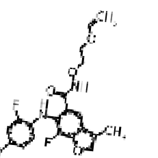 C=COCCONC(=O)c1cc2c(C)coc2c(F)c1Nc1ccc(I)cc1F